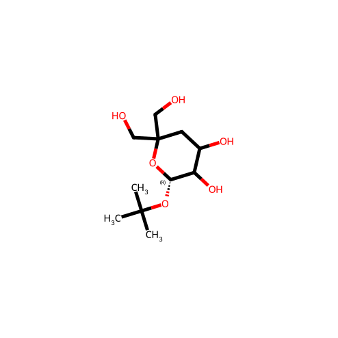 CC(C)(C)O[C@@H]1OC(CO)(CO)CC(O)C1O